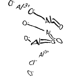 [Al+3].[Al+3].[Cl-].[Cl-].[Cl-].[O]=[Al][O-].[O]=[Al][O-].[O]=[Al][O-]